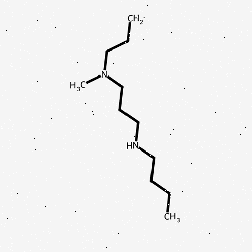 [CH2]CCN(C)CCCNCCCC